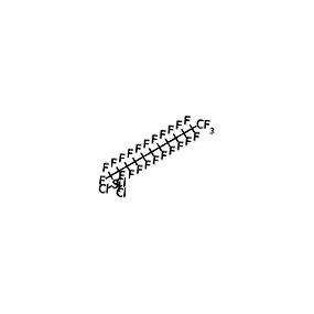 FC(F)(F)C(F)(F)C(F)(F)C(F)(F)C(F)(F)C(F)(F)C(F)(F)C(F)(F)C(F)(F)C(F)(F)C(F)(F)C(F)(F)[Si](Cl)(Cl)Cl